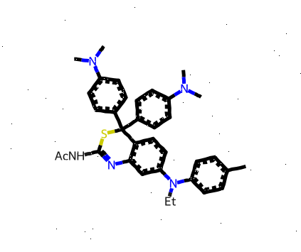 CCN(c1ccc(C)cc1)c1ccc2c(c1)N=C(NC(C)=O)SC2(c1ccc(N(C)C)cc1)c1ccc(N(C)C)cc1